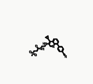 CS(=O)(=O)CCC(=O)NCCNc1cnc2c(-c3ccc(C#N)cc3)cccc2c1C1CC1